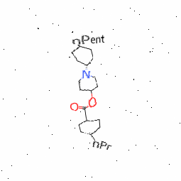 CCCCC[C@H]1CC[C@H](N2CCC(OC(=O)C3CCC(CCC)CC3)CC2)CC1